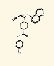 N#C/N=C(/Nc1cccc2ncccc12)N1CCN(C(=O)Nc2ccc(Cl)cc2)CC1